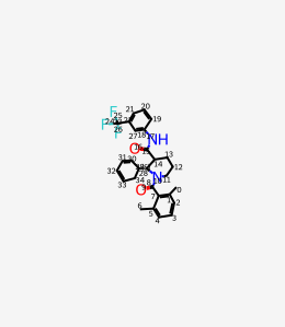 Cc1cccc(C)c1C(=O)N1CCCC(C(=O)Nc2cccc(C(F)(F)F)c2)[C@@H]1C1C=CC=CC1